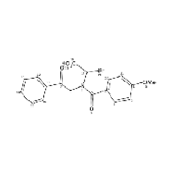 COc1ccc(C(=O)N(CC(=O)c2ccccc2)C(C(=O)O)C(C)C)cc1